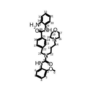 COc1ccccc1NC(=O)N(CCCN1CCOCC1)Cc1ccc(C(=O)Nc2ccccc2N)cc1